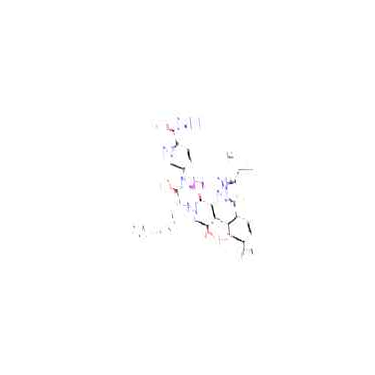 COCCC(C(=O)Nc1ccc(C(N)=O)nc1)n1cc(O)c(-c2cc(Cl)ccc2-c2nnc(C(F)F)o2)cc1=O